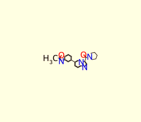 Cc1nc2cc(-c3ccc4ncc(C(=O)N5CCCCC5)n4c3)ccc2o1